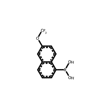 OB(O)c1cccc2cc(OC(F)(F)F)ccc12